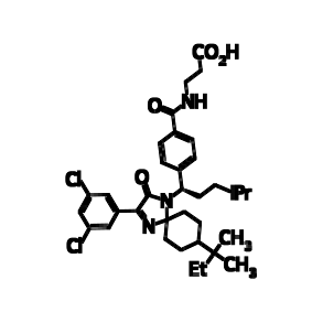 CCC(C)(C)C1CCC2(CC1)N=C(c1cc(Cl)cc(Cl)c1)C(=O)N2[C@H](CCC(C)C)c1ccc(C(=O)NCCC(=O)O)cc1